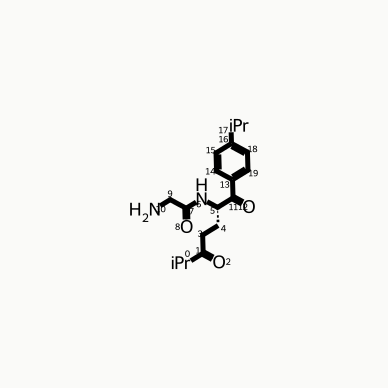 CC(C)C(=O)CC[C@H](NC(=O)CN)C(=O)c1ccc(C(C)C)cc1